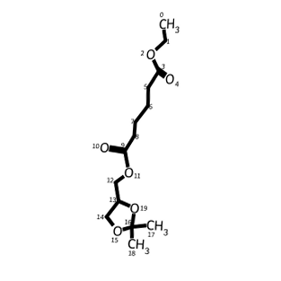 CCOC(=O)CCCCC(=O)OCC1COC(C)(C)O1